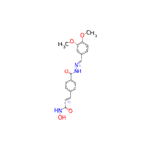 COc1ccc(/C=N/NC(=O)c2ccc(/C=C/C(=O)NO)cc2)cc1OC